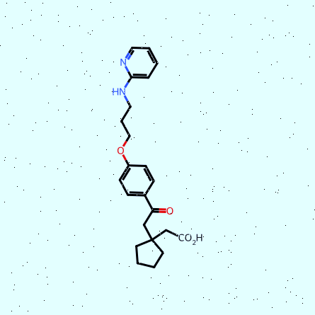 O=C(O)CC1(CC(=O)c2ccc(OCCCNc3ccccn3)cc2)CCCC1